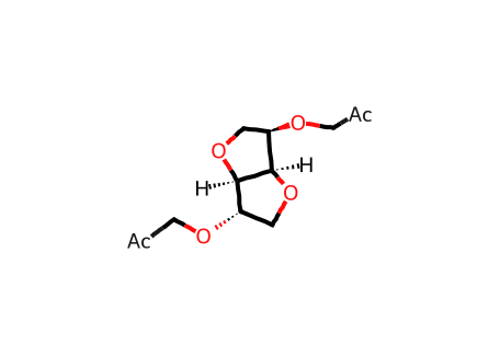 CC(=O)CO[C@H]1CO[C@H]2[C@@H]1OC[C@H]2OCC(C)=O